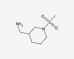 CS(=O)(=O)N1CCCC(CN)C1